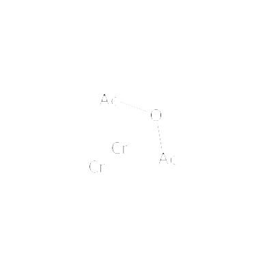 CC(=O)OC(C)=O.[Cr].[Cr]